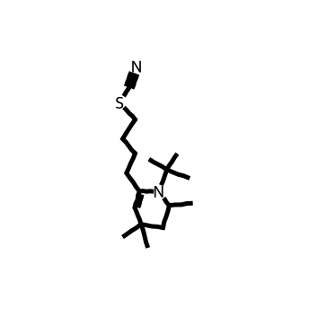 CC1CC(C)(C)C=C(CCCCSC#N)N1C(C)(C)C